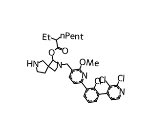 CCCCCC(CC)C(=O)OC1N(Cc2ccc(-c3cccc(-c4ccnc(Cl)c4Cl)c3Cl)nc2OC)CC12CCNC2